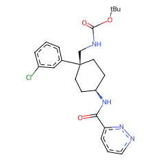 CC(C)(C)OC(=O)NC[C@]1(c2cccc(Cl)c2)CC[C@H](NC(=O)c2cccnn2)CC1